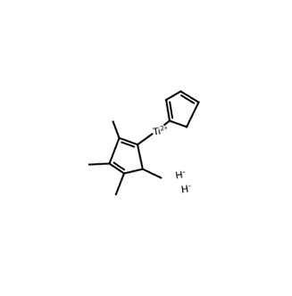 CC1=C(C)C(C)[C]([Ti+2][C]2=CC=CC2)=C1C.[H-].[H-]